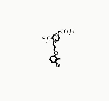 Cc1c(Br)cccc1OCCCN1CCN(CC(=O)O)C[C@@H]1C(F)(F)F